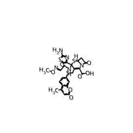 CON=CC(=O)NC1(c2csc(N)n2)S[C@H]2CC(=O)N2C(C(=O)O)=C1CSc1ccc2c(C)cc(=O)oc2c1